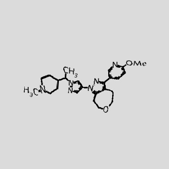 COc1ccc(-c2nn(-c3cnn(C(C)C4CCN(C)CC4)c3)c3c2CCOCC3)cn1